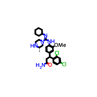 COc1cc(C(CC(N)=O)c2ccc(Cl)cc2Cl)ccc1N/C(=N/C1CCCCC1)N1CCN[C@@H](C)C1